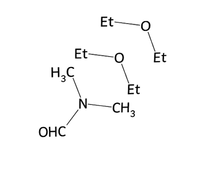 CCOCC.CCOCC.CN(C)C=O